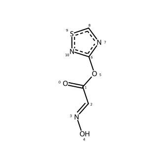 O=C(C=NO)Oc1ncsn1